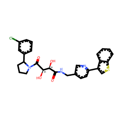 O=C(NCc1ccc(-c2csc3ccccc23)nc1)[C@H](O)[C@@H](O)C(=O)N1CCCC1c1cccc(Cl)c1